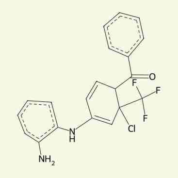 Nc1ccccc1NC1=CC(Cl)(C(F)(F)F)C(C(=O)c2ccccc2)C=C1